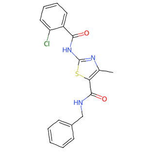 Cc1nc(NC(=O)c2ccccc2Cl)sc1C(=O)NCc1ccccc1